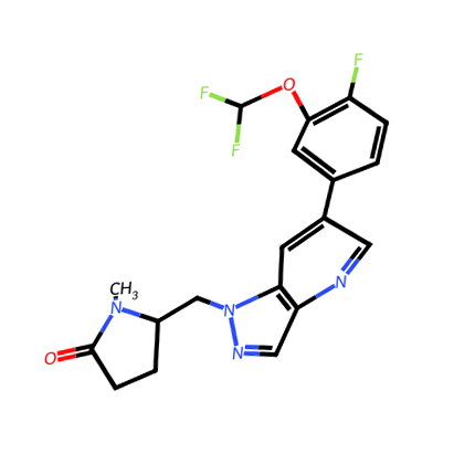 CN1C(=O)CCC1Cn1ncc2ncc(-c3ccc(F)c(OC(F)F)c3)cc21